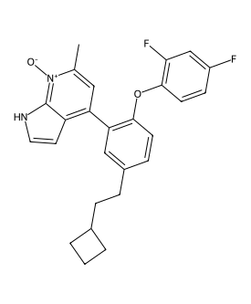 Cc1cc(-c2cc(CCC3CCC3)ccc2Oc2ccc(F)cc2F)c2cc[nH]c2[n+]1[O-]